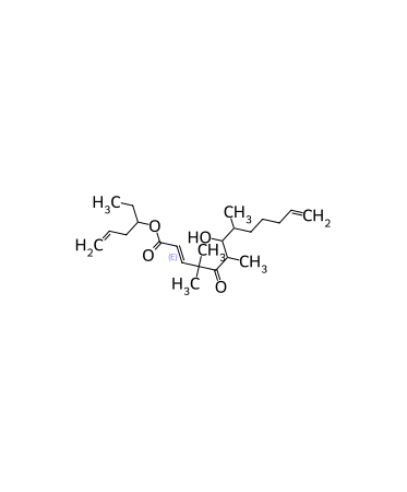 C=CCCCC(C)C(O)C(C)C(=O)C(C)(C)/C=C/C(=O)OC(CC)CC=C